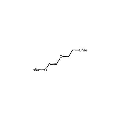 CCCCO/C=C/OCCOC